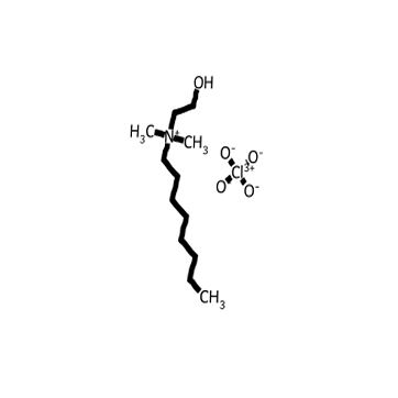 CCCCCCCC[N+](C)(C)CCO.[O-][Cl+3]([O-])([O-])[O-]